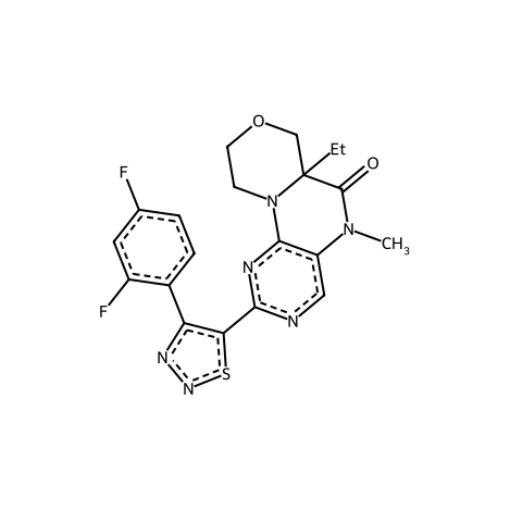 CCC12COCCN1c1nc(-c3snnc3-c3ccc(F)cc3F)ncc1N(C)C2=O